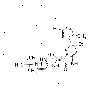 CCc1ccc(C)c(C2C=C3C(=CC2CC)NC(=O)/C3=C(/C)NC(=N)/C=C\NC(C)(C)C#N)c1